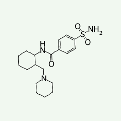 NS(=O)(=O)c1ccc(C(=O)NC2CCCCC2CN2CCCCC2)cc1